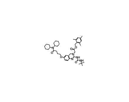 Cc1cc(C)c(COC(=O)CN2Cc3cc(OCCCC(=O)N(C4CCCCC4)C4CCCCC4)ccc3N=C2NC(=O)NC(C)(C)C)c(C)c1